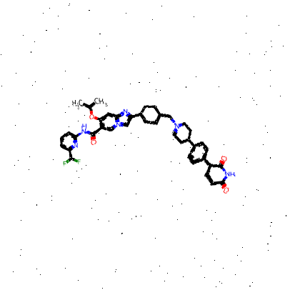 CC(C)Oc1cc2nc(C3CCC(CN4CCC(c5ccc(C6CCC(=O)NC6=O)cc5)CC4)CC3)cn2cc1C(=O)Nc1cccc(C(F)F)n1